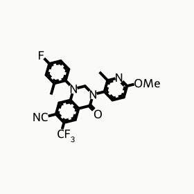 COc1ccc(N2CN(c3ccc(F)cc3C)c3cc(C#N)c(C(F)(F)F)cc3C2=O)c(C)n1